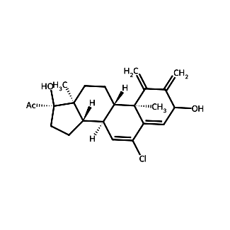 C=C1C(=C)[C@@]2(C)C(=CC1O)C(Cl)=C[C@@H]1[C@@H]2CC[C@@]2(C)[C@H]1CC[C@]2(O)C(C)=O